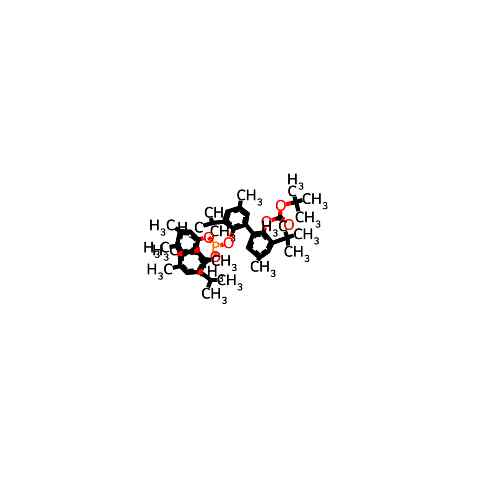 Cc1cc(-c2cc(C)cc(C(C)(C)C)c2OP(Oc2cc(C)c(C)cc2C(C)C)Oc2cc(C)c(C)cc2C(C)C)c(OC(=O)OC(C)(C)C)c(C(C)(C)C)c1